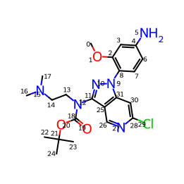 COc1cc(N)ccc1-n1nc(N(CCN(C)C)C(=O)OC(C)(C)C)c2cnc(Cl)cc21